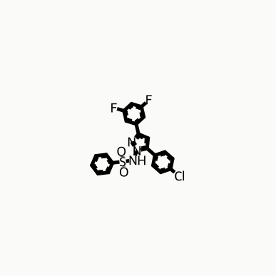 O=S(=O)(Nn1nc(-c2cc(F)cc(F)c2)cc1-c1ccc(Cl)cc1)c1ccccc1